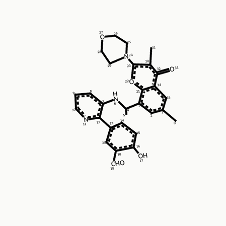 Cc1cc(C(C)Nc2cccnc2-c2ccc(O)c(C=O)c2)c2oc(N3CCOCC3)c(C)c(=O)c2c1